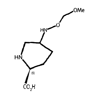 COCONC1CC[C@@H](C(=O)O)NC1